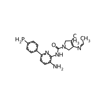 C/C=N\C1=C(C)CN(C(=O)Nc2nc(-c3ccc(P)cc3)ccc2N)C1